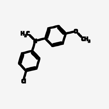 COc1ccc(N(C)c2ccc(Cl)cc2)cc1